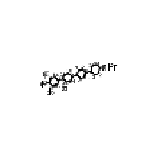 CCCC1CCC(c2ccc(-c3ccc(-c4cc(F)c(F)c(F)c4)c(F)c3)cc2)CC1